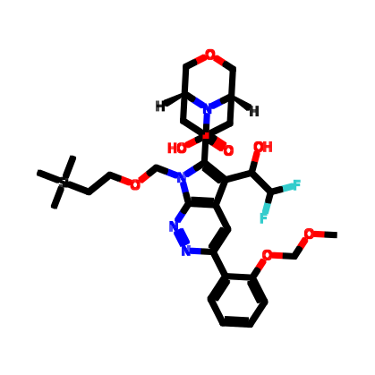 COCOc1ccccc1-c1cc2c(C(O)C(F)F)c(C3C[C@H]4COC[C@@H](C3)N4C(=O)O)n(COCC[Si](C)(C)C)c2nn1